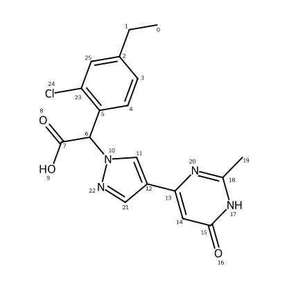 CCc1ccc(C(C(=O)O)n2cc(-c3cc(=O)[nH]c(C)n3)cn2)c(Cl)c1